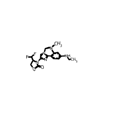 CCNc1ccc2c(c1)N(C)CCn1cc(N3C(=O)OCC3C(F)F)nc1-2